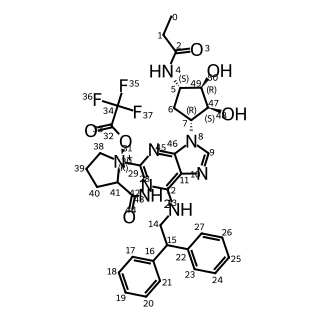 CCC(=O)N[C@H]1C[C@@H](n2cnc3c(NCC(c4ccccc4)c4ccccc4)nc([N@@+]4(OC(=O)C(F)(F)F)CCCC4C(N)=O)nc32)[C@H](O)[C@@H]1O